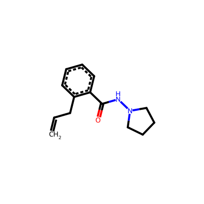 C=CCc1ccccc1C(=O)NN1CCCC1